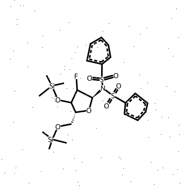 C[Si](C)(C)OC[C@H]1O[C@H](N(S(=O)(=O)c2ccccc2)S(=O)(=O)c2ccccc2)C(F)C1O[Si](C)(C)C